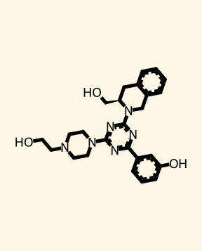 OCCN1CCN(c2nc(-c3cccc(O)c3)nc(N3Cc4ccccc4C[C@@H]3CO)n2)CC1